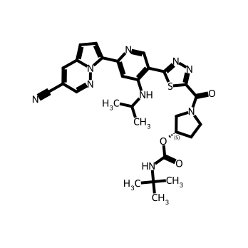 CC(C)Nc1cc(-c2ccc3cc(C#N)cnn23)ncc1-c1nnc(C(=O)N2CC[C@H](OC(=O)NC(C)(C)C)C2)s1